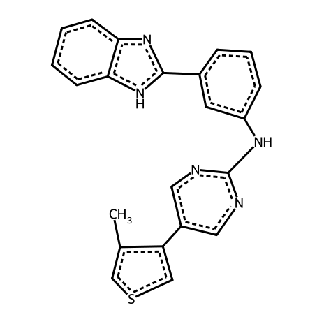 Cc1cscc1-c1cnc(Nc2cccc(-c3nc4ccccc4[nH]3)c2)nc1